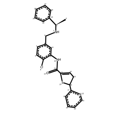 C[C@@H](NCc1ccc(Cl)c(NC(=O)C2=CCC(c3ccccn3)S2)c1)c1ccccc1